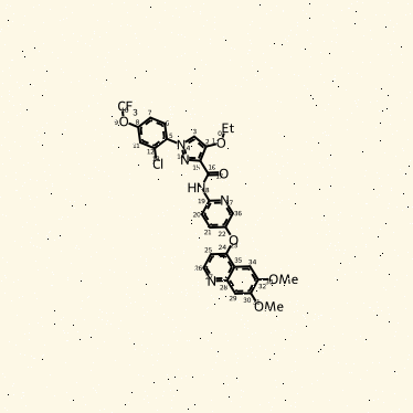 CCOc1cn(-c2ccc(OC(F)(F)F)cc2Cl)nc1C(=O)Nc1ccc(Oc2ccnc3cc(OC)c(OC)cc23)cn1